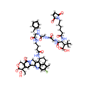 CC[C@@]1(O)C(=O)OCc2c1cc1n(c2=O)Cc2c-1nc1cc(F)c(C)c3c1c2[C@@H](NC(=O)CCCNC(=O)[C@H](Cc1ccccc1)NC(=O)CNC(=O)CNC(=O)[C@@H](NC(=O)CCCCCN1C(=O)C=CC1=O)C(C(=O)O)C(C)(C)C)CC3